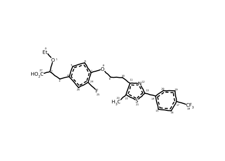 CCOC(Cc1ccc(OCCc2nc(-c3ccc(C(F)(F)F)cc3)sc2C)c(F)c1)C(=O)O